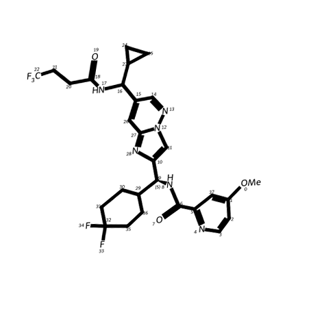 COc1ccnc(C(=O)N[C@H](c2cn3ncc(C(NC(=O)CCC(F)(F)F)C4CC4)cc3n2)C2CCC(F)(F)CC2)c1